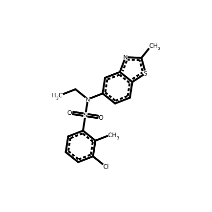 CCN(c1ccc2sc(C)nc2c1)S(=O)(=O)c1cccc(Cl)c1C